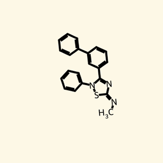 CN=c1nc(-c2cccc(-c3ccccc3)c2)n(-c2ccccc2)s1